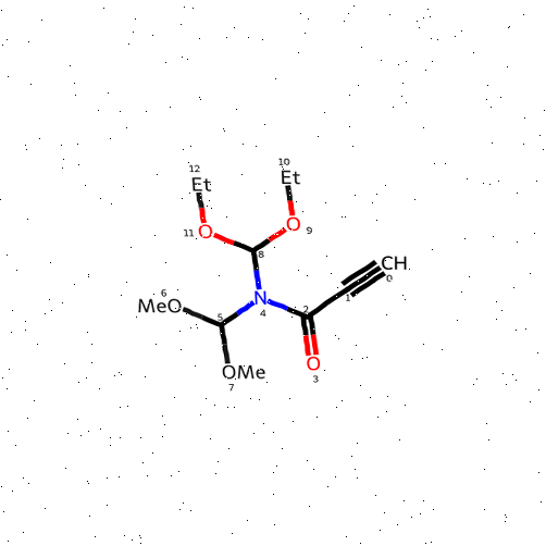 C#CC(=O)N(C(OC)OC)C(OCC)OCC